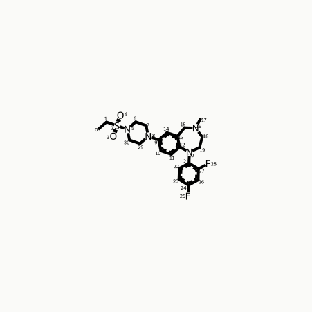 CCS(=O)(=O)N1CCN(c2ccc3c(c2)CN(C)CCN3c2ccc(F)cc2F)CC1